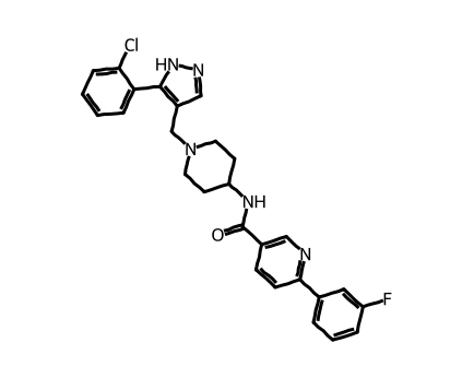 O=C(NC1CCN(Cc2cn[nH]c2-c2ccccc2Cl)CC1)c1ccc(-c2cccc(F)c2)nc1